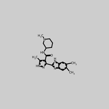 Cc1cc2nc(-c3n[nH]c(C)c3C(=O)NC3CCCN(C)C3)[nH]c2cc1C